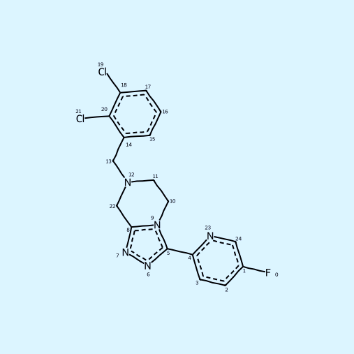 Fc1ccc(-c2nnc3n2CCN(Cc2cccc(Cl)c2Cl)C3)nc1